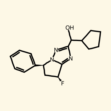 OC(c1nc2n(n1)[C@H](c1ccccc1)C[C@@H]2F)C1CCCC1